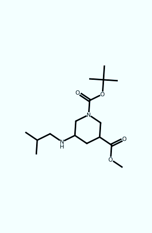 COC(=O)C1CC(NCC(C)C)CN(C(=O)OC(C)(C)C)C1